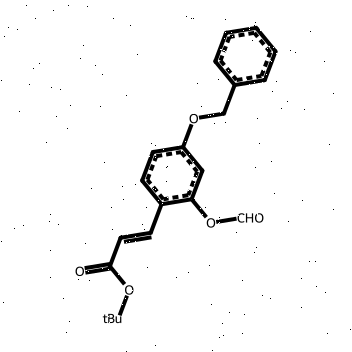 CC(C)(C)OC(=O)C=Cc1ccc(OCc2ccccc2)cc1OC=O